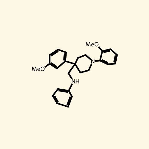 COc1cccc(C2(CNc3ccccc3)CCN(c3ccccc3OC)CC2)c1